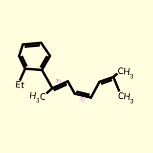 CCc1ccccc1/C(C)=C/C=C\C=C(C)C